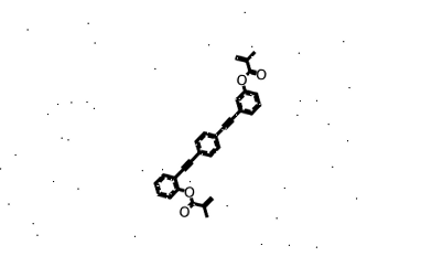 C=C(C)C(=O)Oc1cccc(C#Cc2ccc(C#Cc3ccccc3OC(=O)C(=C)C)cc2)c1